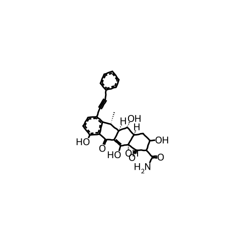 C[C@H]1c2c(C#Cc3ccccc3)ccc(O)c2C(=O)C2=C(O)[C@]3(O)C(=O)C(C(N)=O)C(O)C[C@@H]3[C@@H](O)[C@@H]21